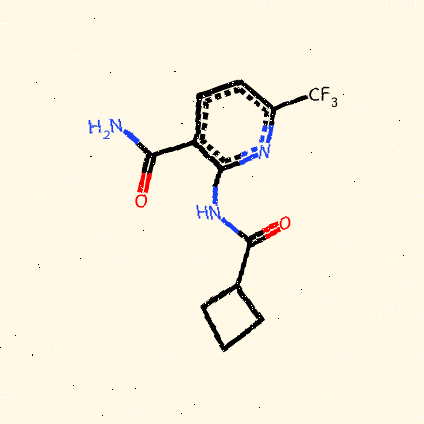 NC(=O)c1ccc(C(F)(F)F)nc1NC(=O)C1CCC1